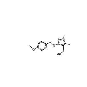 COc1ccc(COc2nn(C)c(C)c2CO)cc1